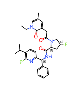 CCn1cc(C)cc(CC(=O)N2C[C@H](F)C[C@H]2C(=O)N[C@@H](c2ccccc2)c2ccc(C(C)C)c(F)n2)c1=O